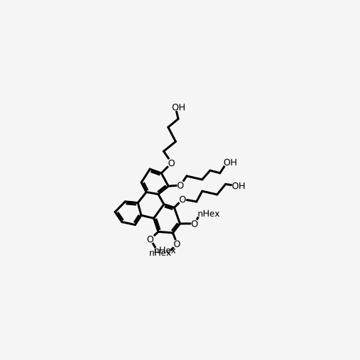 CCCCCCOc1c(OCCCCCC)c(OCCCCO)c2c3c(OCCCCO)c(OCCCCO)ccc3c3ccccc3c2c1OCCCCCC